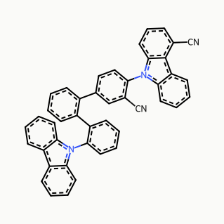 N#Cc1cc(-c2ccccc2-c2ccccc2-n2c3ccccc3c3ccccc32)ccc1-n1c2ccccc2c2c(C#N)cccc21